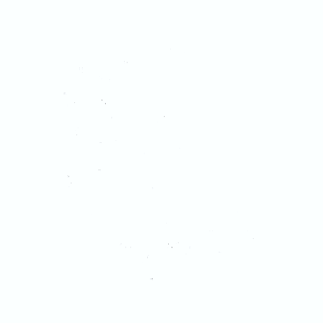 CCCc1cc(Cc2cc(CCC)c(N3C(=O)C=CC3=O)c(CCC)c2)cc(CCC)c1N1C(=O)C=CC1=O